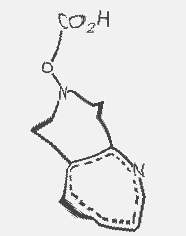 O=C(O)ON1Cc2cccnc2C1